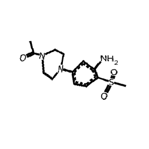 CC(=O)N1CCN(c2ccc(S(C)(=O)=O)c(N)c2)CC1